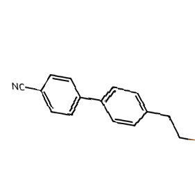 N#Cc1ccc(-c2ccc(CCBr)cc2)cc1